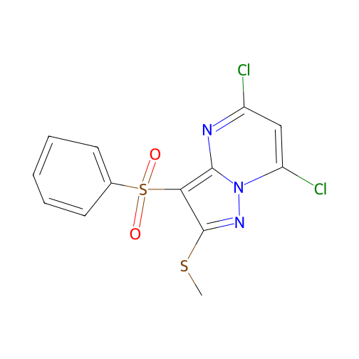 CSc1nn2c(Cl)cc(Cl)nc2c1S(=O)(=O)c1ccccc1